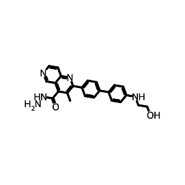 Cc1c(-c2ccc(-c3ccc(NCCO)cc3)cc2)nc2ccncc2c1C(=O)NN